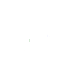 O=Cc1c(F)cc(N2CCCC2)cc1F